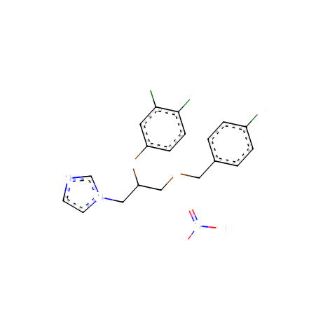 Clc1ccc(CSCC(Cn2ccnc2)Sc2ccc(Cl)c(Cl)c2)cc1.O=[N+]([O-])O